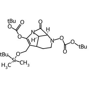 CC(C)(C)OC(=O)OC1=C(CO[Si](C)(C)C(C)(C)C)C2CCN(OC(=O)OC(C)(C)C)[C@@H]3C(=O)N1[C@H]23